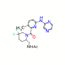 CC(=O)NCC1CCC(F)(F)CN1C(=O)c1nc(Nc2cnccn2)ccc1C